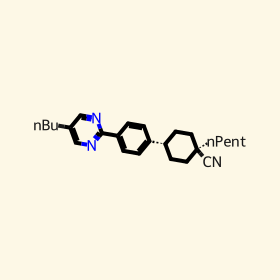 CCCCC[C@]1(C#N)CC[C@H](c2ccc(-c3ncc(CCCC)cn3)cc2)CC1